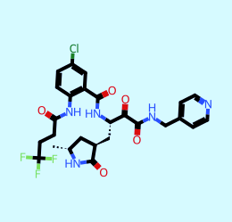 C[C@@H]1C[C@@H](C[C@H](NC(=O)c2cc(Cl)ccc2NC(=O)CCC(F)(F)F)C(=O)C(=O)NCc2ccncc2)C(=O)N1